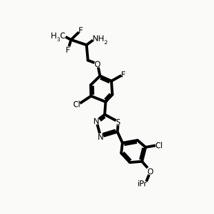 CC(C)Oc1ccc(-c2nnc(-c3cc(F)c(OCC(N)C(C)(F)F)cc3Cl)s2)cc1Cl